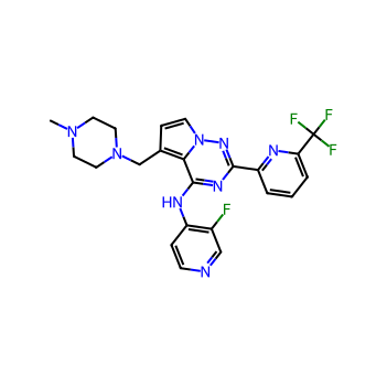 CN1CCN(Cc2ccn3nc(-c4cccc(C(F)(F)F)n4)nc(Nc4ccncc4F)c23)CC1